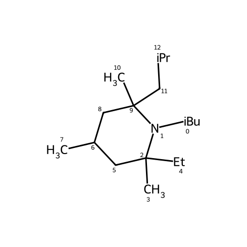 CCC(C)N1C(C)(CC)CC(C)CC1(C)CC(C)C